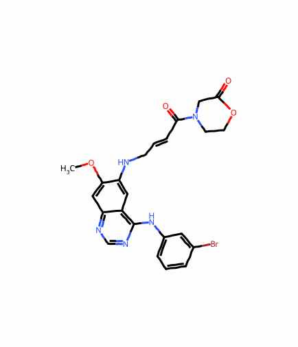 COc1cc2ncnc(Nc3cccc(Br)c3)c2cc1NCC=CC(=O)N1CCOC(=O)C1